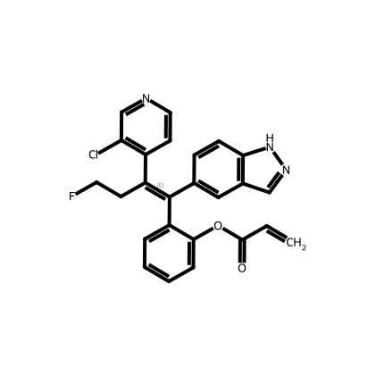 C=CC(=O)Oc1ccccc1/C(=C(\CCF)c1ccncc1Cl)c1ccc2[nH]ncc2c1